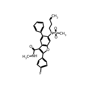 C=CCCN(c1cc2oc(-c3ccc(F)cc3)c(C(=O)NC)c2cc1-c1ccccc1)S(C)(=O)=O